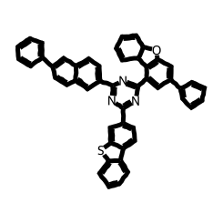 C1=CC2Oc3cc(-c4ccccc4)cc(-c4nc(-c5ccc6cc(-c7ccccc7)ccc6c5)nc(-c5ccc6c(c5)sc5ccccc56)n4)c3C2C=C1